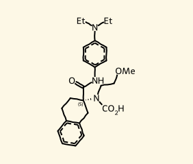 CCN(CC)c1ccc(NC(=O)[C@]2(N(CCOC)C(=O)O)CCc3ccccc3C2)cc1